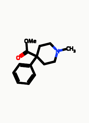 COC(=O)C1(c2ccccc2)CCN(C)CC1